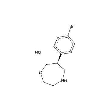 Brc1ccc([C@H]2CNCCOC2)cc1.Cl